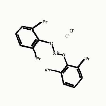 CC(C)c1cccc(C(C)C)c1[O][W+2][O]c1c(C(C)C)cccc1C(C)C.[Cl-].[Cl-]